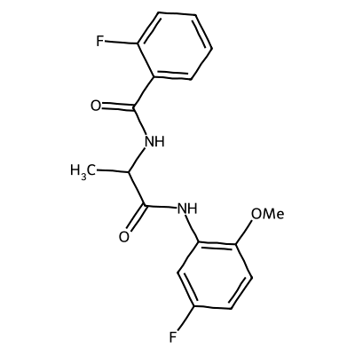 COc1ccc(F)cc1NC(=O)C(C)NC(=O)c1ccccc1F